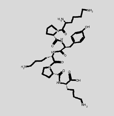 NCCCC[C@H](NC(=O)[C@@H]1CCCN1C(=O)[C@H](CCCCN)NC(=O)[C@H](Cc1ccc(O)cc1)NC(=O)[C@@H]1CCCN1C(=O)[C@@H](N)CCCCN)C(=O)O